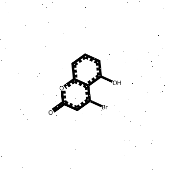 O=c1cc(Br)c2c(O)cccc2o1